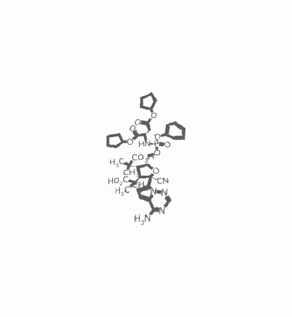 CC(C)(C(=O)O)[C@@H]1[C@H](CO[P@](=O)(N[C@@H](CC(=O)OC2CCCC2)C(=O)OC2CCCC2)Oc2ccccc2)O[C@@](C#N)(c2ccc3c(N)ncnn23)[C@H]1C(C)(C)C(=O)O